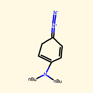 CCCCN(CCCC)C1=CCC(=[N+]=[N-])C=C1